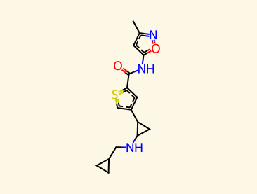 Cc1cc(NC(=O)c2cc(C3CC3NCC3CC3)cs2)on1